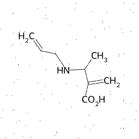 C=CCNC(C)C(=C)C(=O)O